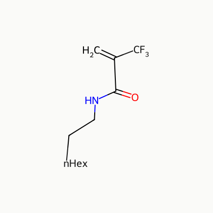 C=C(C(=O)NCCCCCCCC)C(F)(F)F